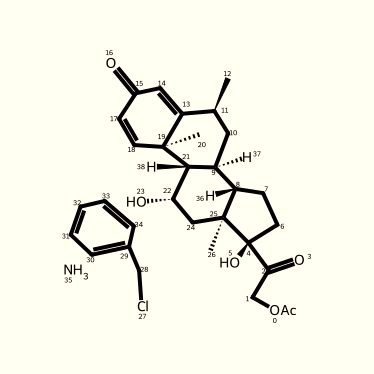 CC(=O)OCC(=O)[C@@]1(O)CC[C@H]2[C@@H]3C[C@H](C)C4=CC(=O)C=C[C@]4(C)[C@H]3[C@@H](O)C[C@@]21C.ClCc1ccccc1.N